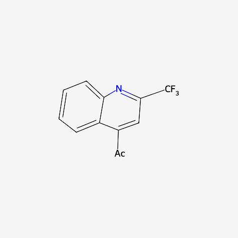 CC(=O)c1cc(C(F)(F)F)nc2ccccc12